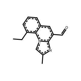 CCc1cccc2cc(C=O)c3nc(C)cn3c12